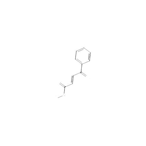 O=C(C=CC(=O)c1ccccc1)NO